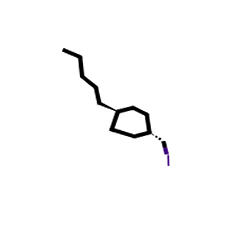 CCCCC[C@H]1CC[C@H](CI)CC1